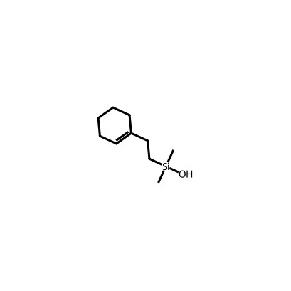 C[Si](C)(O)CCC1=CCCCC1